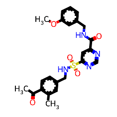 COc1cccc(CNC(=O)c2cc(S(=O)(=O)NCc3ccc(C(C)=O)c(C)c3)ncn2)c1